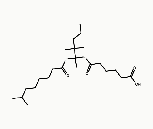 CCCC(C)(C)C(C)(OC(=O)CCCCCC(C)C)OC(=O)CCCCC(=O)O